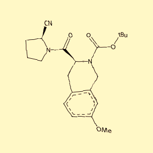 COc1ccc2c(c1)CN(C(=O)OC(C)(C)C)[C@H](C(=O)N1CCC[C@H]1C#N)C2